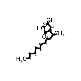 CCCCCCCC/C=C/C(C)C(CC(=O)O)C(=O)O